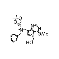 COc1ncnc2c(CN(Cc3ccccc3)C[C@H]3COC(C)(C)O3)cn(CO)c12